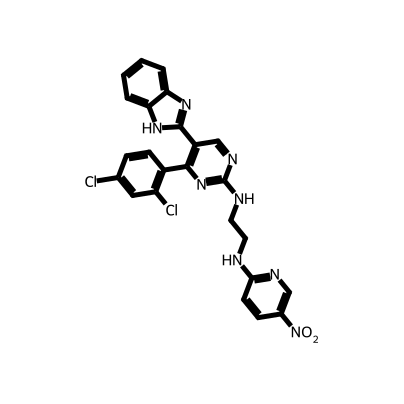 O=[N+]([O-])c1ccc(NCCNc2ncc(-c3nc4ccccc4[nH]3)c(-c3ccc(Cl)cc3Cl)n2)nc1